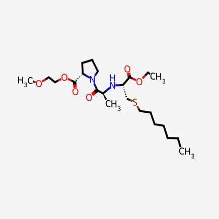 CCCCCCCSC[C@H](N[C@@H](C)C(=O)N1CCC[C@H]1C(=O)OCCOC)C(=O)OCC